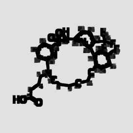 O=C(O)CCCN1CCCCCCc2ccc(F)cc2-c2nc(ccc2C(F)(F)F)NS(=O)(=O)c2cccc1n2